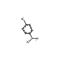 CC(=O)N(c1ccc(Br)cc1)C(C)C